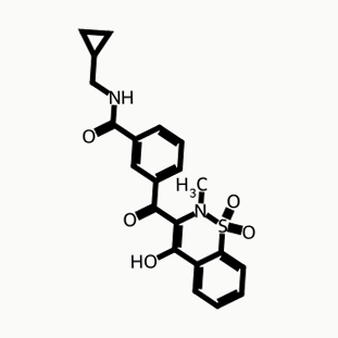 CN1C(C(=O)c2cccc(C(=O)NCC3CC3)c2)=C(O)c2ccccc2S1(=O)=O